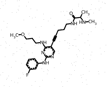 CNC(C)C(=O)NCCCC#Cc1cnc(Nc2cccc(F)c2)nc1NCCCOC